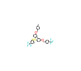 Cc1ccc(COc2ccc3c(c2)-c2cc(OCc4ccc(C(F)(F)F)cc4)ccc2[SH]3c2ccc(C(F)(F)F)cc2)cc1